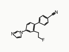 N#Cc1ccc(-c2ccc(-n3ccnc3)cc2CCF)cc1